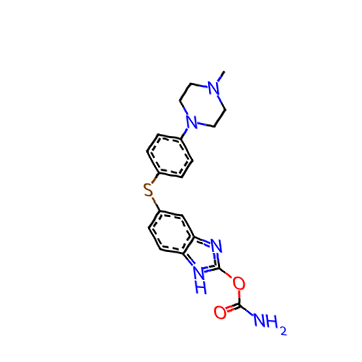 CN1CCN(c2ccc(Sc3ccc4[nH]c(OC(N)=O)nc4c3)cc2)CC1